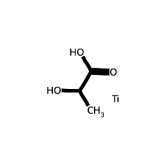 CC(O)C(=O)O.[Ti]